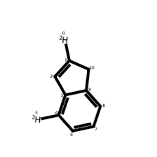 [2H]C1=Cc2c([2H])cccc2C1